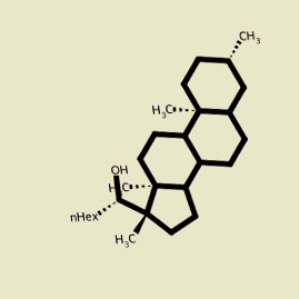 CCCCCC[C@H](O)[C@@]1(C)CCC2C3CCC4C[C@@H](C)CC[C@]4(C)C3CC[C@@]21C